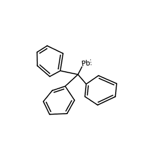 [Pb][C](c1ccccc1)(c1ccccc1)c1ccccc1